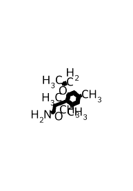 C=C(C)Oc1cc(C)cc(C)c1C(C)(C)CC(N)=O